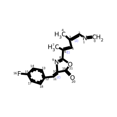 C=N/C=C(C)\C=C(/C)C1=N/C(=C\c2ccc(F)cc2)C(=O)O1